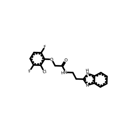 O=C(COc1c(F)ccc(F)c1Cl)NCCc1nc2ccccc2[nH]1